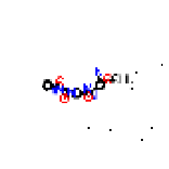 CCOc1ccc(-c2noc(C3CCN(C(=O)CNC(=O)c4ccccc4)CC3)n2)cc1C#N